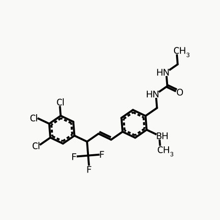 CBc1cc(/C=C/C(c2cc(Cl)c(Cl)c(Cl)c2)C(F)(F)F)ccc1CNC(=O)NCC